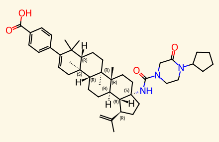 C=C(C)[C@@H]1CC[C@]2(NC(=O)N3CCN(C4CCCC4)C(=O)C3)CC[C@]3(C)[C@H](CC[C@@H]4[C@@]5(C)CC=C(c6ccc(C(=O)O)cc6)C(C)(C)[C@@H]5CC[C@]43C)[C@@H]12